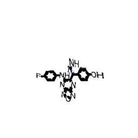 N/N=C(\c1ccc(O)cc1)c1nc2nonc2nc1Nc1ccc(F)cc1